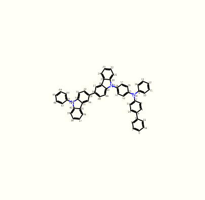 c1ccc(-c2ccc(N(c3ccccc3)c3ccc(-n4c5ccccc5c5cc(-c6ccc7c(c6)c6ccccc6n7-c6ccccc6)ccc54)cc3)cc2)cc1